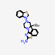 CCCCC1(c2ccccc2)CN(N2CSc3ccccc32)CCN1c1csc(N)n1